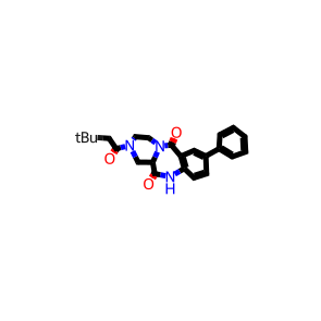 CC(C)(C)CC(=O)N1CCN2C(=O)c3cc(-c4ccccc4)ccc3NC(=O)C2C1